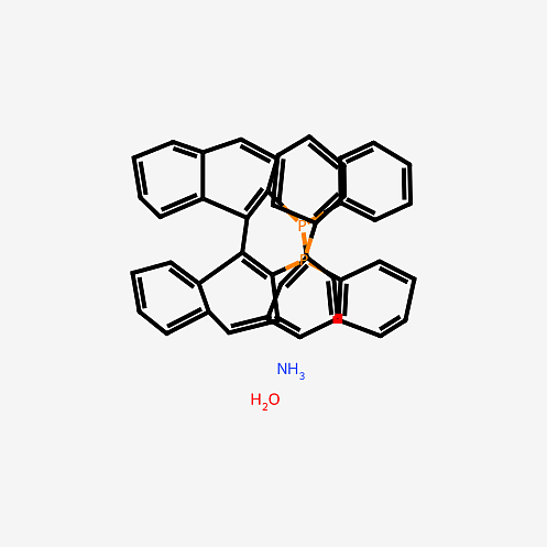 N.O.c1ccc(P(c2ccccc2)c2ccc3ccccc3c2-c2c(P(c3ccccc3)c3ccccc3)ccc3ccccc23)cc1